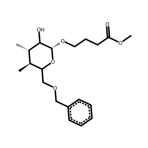 COC(=O)CCCO[C@@H]1OC(COCc2ccccc2)[C@@H](C)[C@H](C)C1O